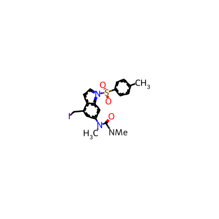 CNC(=O)N(C)c1cc(CI)c2ccn(S(=O)(=O)c3ccc(C)cc3)c2c1